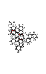 CC(C)(C)c1cc(-c2cccc3cccc(-c4ccccc4N(C4=CCC(c5cccc6c5ccc5ccccc56)=CC=C4)c4ccccc4-c4cccc5sc6ccccc6c45)c23)cc(C(C)(C)C)c1